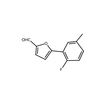 Cc1ccc(F)c(-c2ccc([C]=O)o2)c1